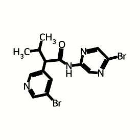 CC(C)C(C(=O)Nc1cnc(Br)cn1)c1cncc(Br)c1